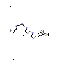 CC/C=C\C/C=C\C/C=C\C/C=C\C/C=C\C/C=C\CCC(CN)CC(=O)O